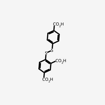 O=C(O)c1ccc(SSc2ccc(C(=O)O)cc2C(=O)O)cc1